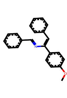 COc1ccc(C(=Cc2ccccc2)N=Cc2ccccc2)cc1